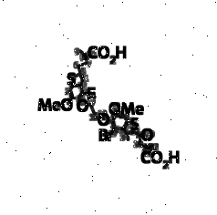 COc1cc2sc(CC[C@H](C)C(=O)O)cc2c(F)c1OCCCOc1c(OC)cc2sc(C(=O)C[C@H](C)C(=O)O)cc2c1Br